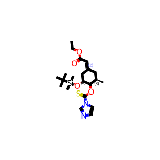 CCOC(=O)/C=C1/C[C@@H](C)C(OC(=S)n2ccnc2)[C@H](O[Si](C)(C)C(C)(C)C)C1